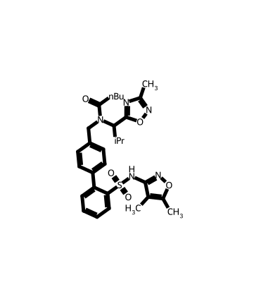 CCCCC(=O)N(Cc1ccc(-c2ccccc2S(=O)(=O)Nc2noc(C)c2C)cc1)C(c1nc(C)no1)C(C)C